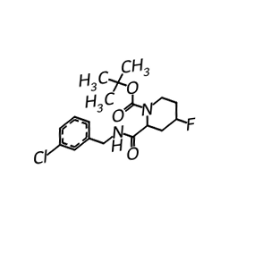 CC(C)(C)OC(=O)N1CCC(F)CC1C(=O)NCc1cccc(Cl)c1